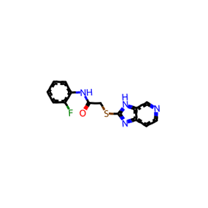 O=C(CSc1nc2ccncc2[nH]1)Nc1ccccc1F